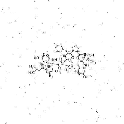 CC(C)C[C@H](NC(=O)[C@H](CC(=O)O)NC(=O)[C@@H](N)CC(C)C)C(=O)N[C@@H](CC(C)C)C(=O)N[C@@H](Cc1ccccc1)C(=O)N1CCC[C@H]1C(=O)N[C@H](C(=O)N[C@@H](CC(=O)O)C(=O)O)[C@@H](C)O